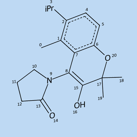 Cc1c(C(C)C)ccc2c1C(N1CCCC1=O)=C(O)C(C)(C)O2